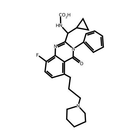 O=C(O)NC(c1nc2c(F)ccc(CCCN3CCCCC3)c2c(=O)n1-c1ccccc1)C1CC1